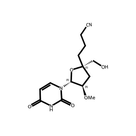 CO[C@@H]1C[C@](CO)(CCCC#N)O[C@H]1n1ccc(=O)[nH]c1=O